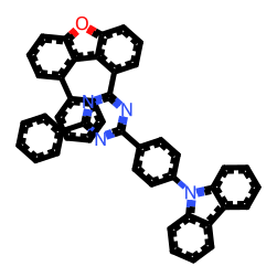 c1ccc(-c2nc(-c3ccc(-n4c5ccccc5c5ccccc54)cc3)nc(-c3cccc4oc5cccc(-c6ccccc6)c5c34)n2)cc1